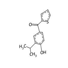 CC(C)c1cc(C(=O)c2cccs2)ccc1O